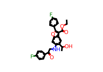 CCOC(=O)c1c(-c2ccc(F)cc2)oc2cc(NCC(=O)c3ccc(F)cc3)c(C(C)O)cc12